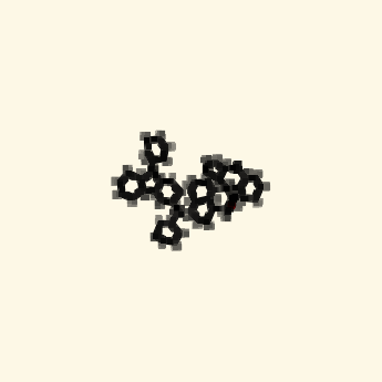 c1ccc(N(c2ccc3c(c2)c2ccccc2n3-c2ccccc2)c2ccc3c4c(cccc24)C2(c4ccccc4Sc4ccccc42)c2ccccc2-3)cc1